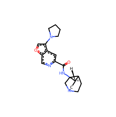 O=C(N[C@H]1CN2CCC1CC2)c1cc2c(N3CCCC3)coc2cn1